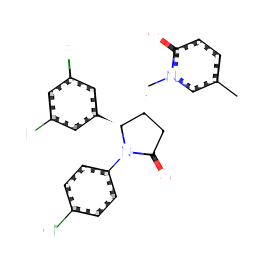 Cc1ccc(=O)n(C[C@@H]2CC(=O)N(c3ccc(Cl)cc3)[C@H]2c2cc(F)cc(F)c2)c1